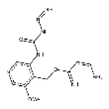 COc1cncc(NC(=O)NN=N)c1COC(=N)/C=C\N